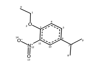 CCOc1ccc([C](C)C)cc1[N+](=O)[O-]